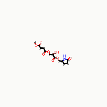 COC(=O)/C=C/C(=O)OCC(O)C(=O)OCC1CCC(=O)N1